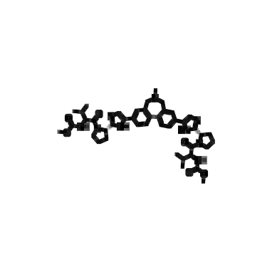 COC(=O)NC(C(=O)N1CCC[C@H]1c1ncc(-c2ccc3c(c2)CN(C)Cc2cc(-c4cnc([C@@H]5CCCN5C(=O)[C@@H](NC(=O)OC)C(C)C)[nH]4)ccc2-3)[nH]1)C(C)C